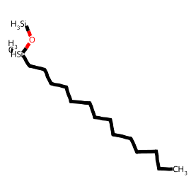 CCCCCCCCCCCCCC[SiH](C)O[SiH3]